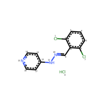 Cl.Clc1cccc(Cl)c1C=NNc1ccncc1